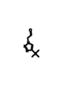 C[Si](C)(C)c1cn(CC=O)nn1